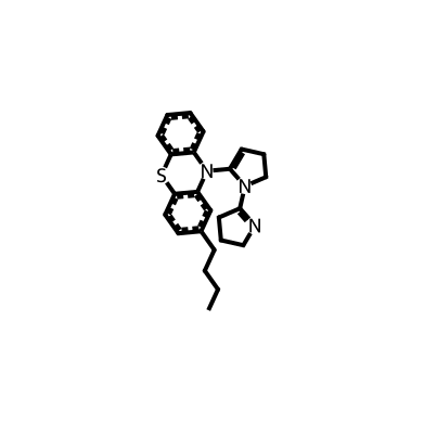 CCCCc1ccc2c(c1)N(C1=CCCN1C1=NCCC1)c1ccccc1S2